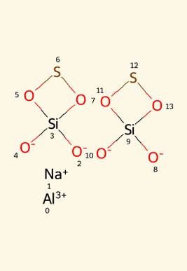 [Al+3].[Na+].[O-][Si]1([O-])OSO1.[O-][Si]1([O-])OSO1